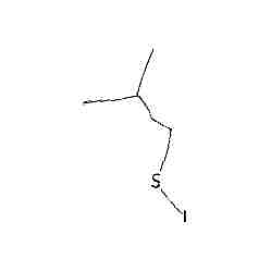 CC(C)CSI